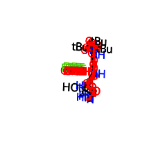 CCN1c2cc(CNc3ncc[nH]3)ccc2C(=O)CC1C(=O)NCC(NS(=O)(=O)c1ccc(-c2ccc(S(=O)(=O)NCCCOCCOCCOCCCNC(=O)CN3CCN(CC(=O)OC(C)(C)C)CCN(CC(=O)OC(C)(C)C)CCN(CC(=O)OC(C)(C)C)CC3)cc2)cc1)C(=O)O.O=C(O)C(F)(F)F.O=C(O)C(F)(F)F.O=C(O)C(F)(F)F.O=C(O)C(F)(F)F.O=C(O)C(F)(F)F